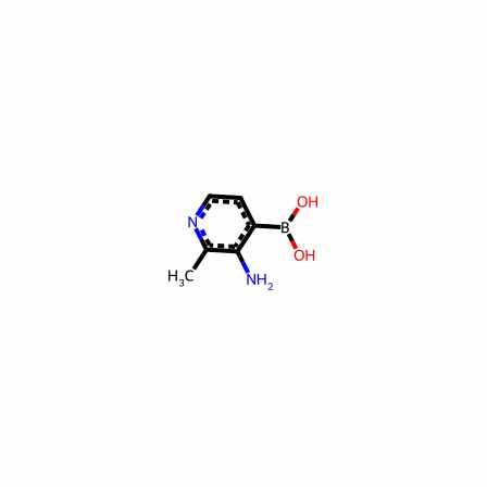 Cc1nccc(B(O)O)c1N